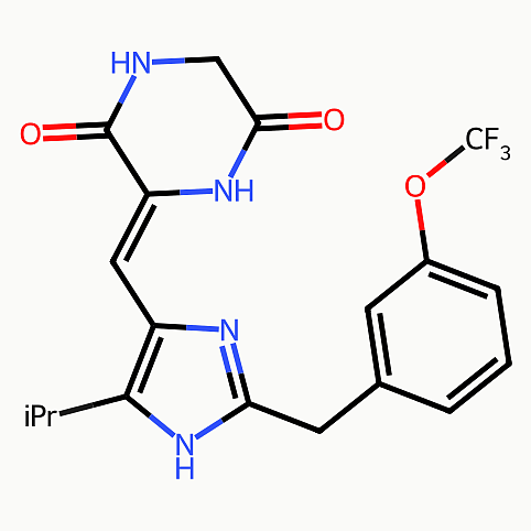 CC(C)c1[nH]c(Cc2cccc(OC(F)(F)F)c2)nc1C=C1NC(=O)CNC1=O